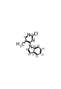 Cc1cnc(Cl)nc1-n1ccc2ccccc21